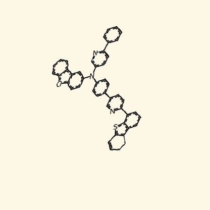 C1=Cc2sc3c(-c4ccc(-c5ccc(N(c6ccc(-c7ccccc7)nc6)c6ccc7oc8ccccc8c7c6)cc5)cn4)cccc3c2CC1